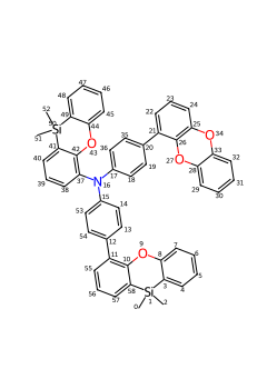 C[Si]1(C)c2ccccc2Oc2c(-c3ccc(N(c4ccc(-c5cccc6c5Oc5ccccc5O6)cc4)c4cccc5c4Oc4ccccc4[Si]5(C)C)cc3)cccc21